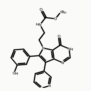 CC(C)(C)OC(=O)NCCn1c(-c2cccc(O)c2)c(-c2cccnc2)c2nc[nH]c(=O)c21